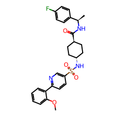 COc1ccccc1-c1ccc(S(=O)(=O)N[C@H]2CC[C@H](C(=O)N[C@H](C)c3ccc(F)cc3)CC2)cn1